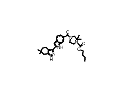 CCCCOC(=O)N1CCN(C(=O)c2ccc3cc(-c4n[nH]c5c4CCC(C)(C)C5)[nH]c3c2)CC1(C)C